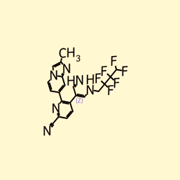 Cc1cn2ccc(-c3nc(C#N)ccc3/C(C=N)=C/NCC(F)(F)C(F)(F)C(F)F)cc2n1